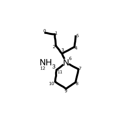 CCCC(CC)N1CCCCC1.N